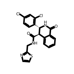 O=C1N[C@@H](c2ccc(Cl)cc2Cl)[C@H](C(=O)NCc2nccs2)c2ccccc21